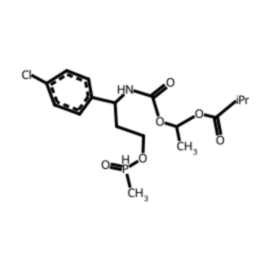 CC(OC(=O)NC(CCO[PH](C)=O)c1ccc(Cl)cc1)OC(=O)C(C)C